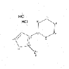 Cl.Cl.[Zr][C]1=C(C2CCCCC2)C=CC1